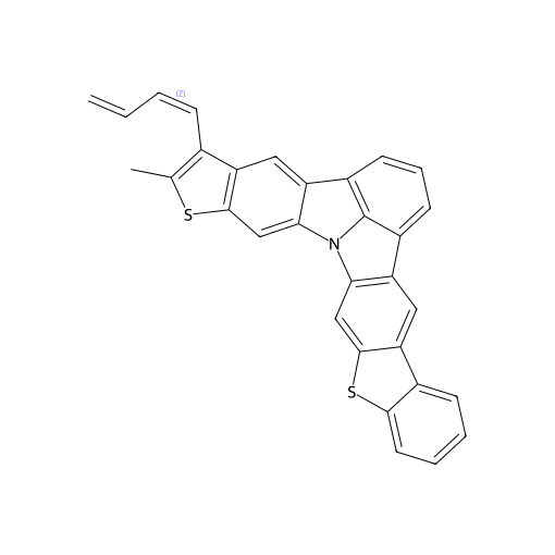 C=C/C=C\c1c(C)sc2cc3c(cc12)c1cccc2c4cc5c(cc4n3c12)sc1ccccc15